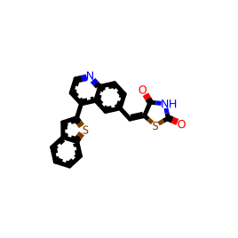 O=C1NC(=O)/C(=C\c2ccc3nccc(-c4cc5ccccc5s4)c3c2)S1